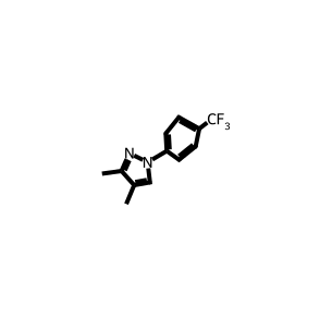 Cc1cn(-c2ccc(C(F)(F)F)cc2)nc1C